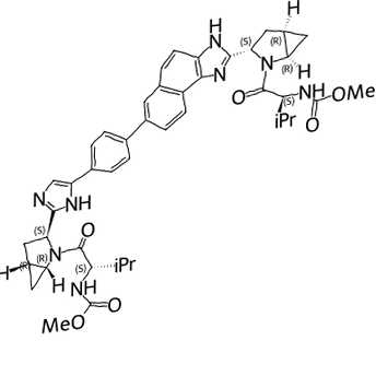 COC(=O)N[C@H](C(=O)N1[C@@H]2C[C@@H]2C[C@H]1c1ncc(-c2ccc(-c3ccc4c(ccc5[nH]c([C@@H]6C[C@H]7C[C@H]7N6C(=O)[C@@H](NC(=O)OC)C(C)C)nc54)c3)cc2)[nH]1)C(C)C